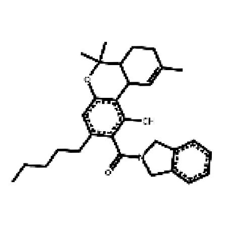 CCCCCc1cc2c(c(O)c1C(=O)N1Cc3ccccc3C1)C1C=C(C)CCC1C(C)(C)O2